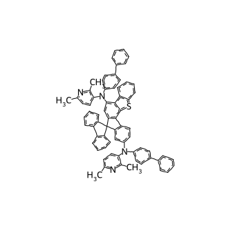 Cc1ccc(N(c2ccc(-c3ccccc3)cc2)c2ccc3c(c2)C2(c4ccccc4-c4ccccc42)c2cc(N(c4ccc(-c5ccccc5)cc4)c4ccc(C)nc4C)c4c(sc5ccccc54)c2-3)c(C)n1